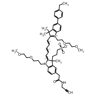 C#CCNC(=O)Cc1ccc2c(c1)C(C)(CCCS(=O)(=O)[O-])\C(=C/C=C/C=C/C1=[N+](CCOCCOC)c3ccc(-c4ccc(CC)cc4)cc3C1(C)C)N2CCCOCCOC